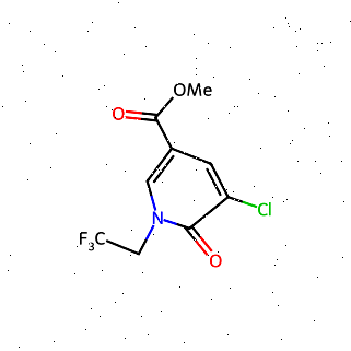 COC(=O)c1cc(Cl)c(=O)n(CC(F)(F)F)c1